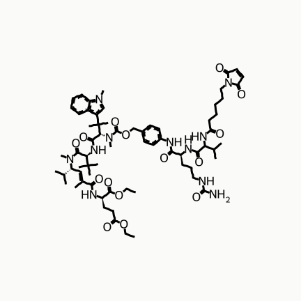 CCOC(=O)CC[C@@H](NC(=O)/C(C)=C/[C@H](C(C)C)N(C)C(=O)[C@@H](NC(=O)[C@@H](N(C)C(=O)OCc1ccc(NC(=O)[C@H](CCCNC(N)=O)NC(=O)C(NC(=O)CCCCCN2C(=O)C=CC2=O)C(C)C)cc1)C(C)(C)c1cn(C)c2ccccc12)C(C)(C)C)C(=O)OCC